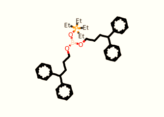 CCP(CC)(CC)(CC)OB(OCCCC(c1ccccc1)c1ccccc1)OCCCC(c1ccccc1)c1ccccc1